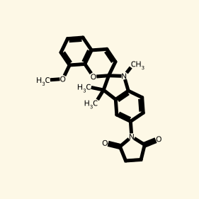 COc1cccc2c1OC1(C=C2)N(C)c2ccc(N3C(=O)CCC3=O)cc2C1(C)C